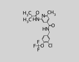 Cc1cc(C(=O)NCc2ccc(OC(F)(F)F)c(Cl)c2)cc(NC(=O)C(C)C)n1